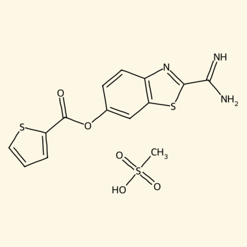 CS(=O)(=O)O.N=C(N)c1nc2ccc(OC(=O)c3cccs3)cc2s1